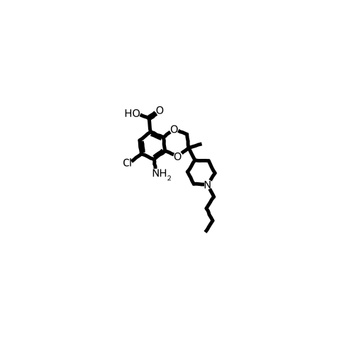 CCCCN1CCC(C2(C)COc3c(C(=O)O)cc(Cl)c(N)c3O2)CC1